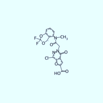 CN(C(=O)Cn1nc(Cl)c2oc(C(=O)O)cc2c1=O)c1cccc2c1[CH]OC(F)(F)O2